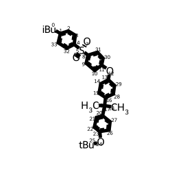 CCC(C)c1ccc(S(=O)(=O)c2ccc(Oc3ccc(C(C)(C)c4ccc(OC(C)(C)C)cc4)cc3)cc2)cc1